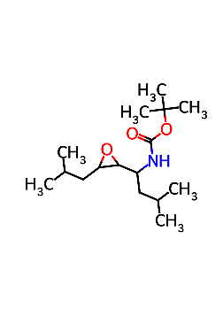 CC(C)CC(NC(=O)OC(C)(C)C)C1OC1CC(C)C